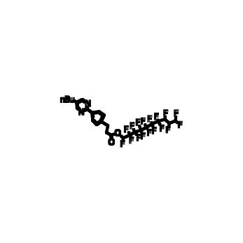 CCCCc1cnc(-c2ccc(CCC(=O)OC(F)C(F)(F)C(F)(F)C(F)(F)C(F)(F)C(F)(F)C(F)(F)C(F)C(F)C(F)F)cc2)nc1